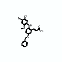 COc1cc(Br)c(Cl)cc1Nc1ccc(SCc2ccccc2)cc1/C=C/C(=O)O